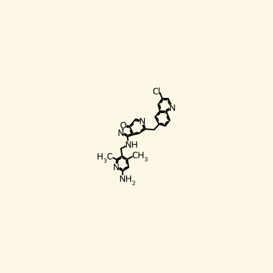 Cc1cc(N)nc(C)c1CNc1noc2cnc(Cc3ccc4ncc(Cl)cc4c3)cc12